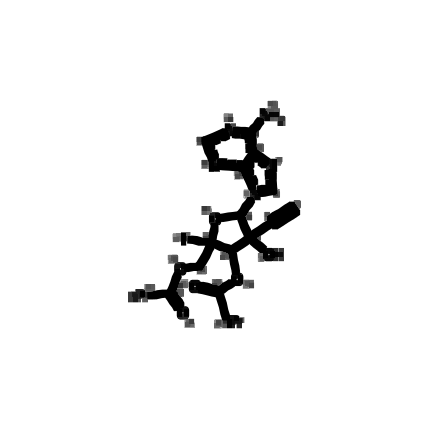 C#CC1(O)C(n2cnc3c(N)ncnc32)OC(F)(COC(=O)CCC)C1OC(=O)CCC